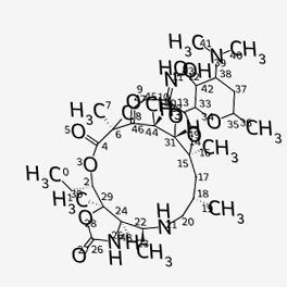 CC[C@@H]1OC(=O)[C@@]2(C)CC/C(=N/O)CO[C@@](C)(C[C@H](C)CN[C@@H](C)[C@H]3NC(=O)O[C@@]13C)[C@@H](OC1OC(C)CC(N(C)C)C1O)[C@@H](C)C2=O